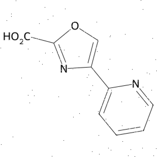 O=C(O)c1nc(-c2ccccn2)co1